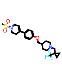 CS(=O)(=O)N1CC=C(c2ccc(OCC3CCN(CC4(C(F)(F)F)CC4)CC3)cc2)CC1